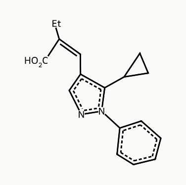 CC/C(=C/c1cnn(-c2ccccc2)c1C1CC1)C(=O)O